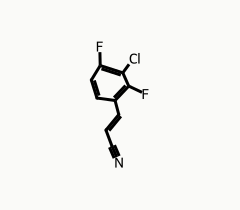 N#CC=Cc1ccc(F)c(Cl)c1F